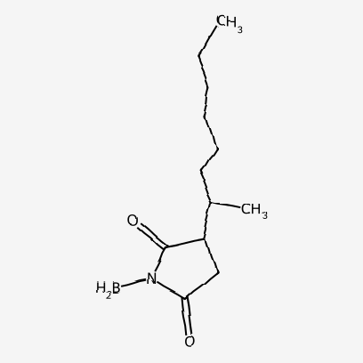 BN1C(=O)CC(C(C)CCCCCC)C1=O